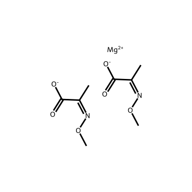 CON=C(C)C(=O)[O-].CON=C(C)C(=O)[O-].[Mg+2]